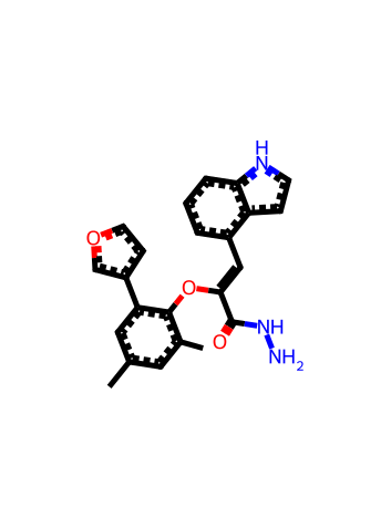 Cc1cc(C)c(OC(=Cc2cccc3[nH]ccc23)C(=O)NN)c(-c2ccoc2)c1